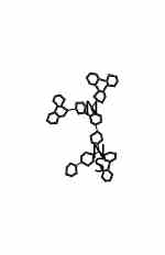 c1ccc(-c2ccc(N(c3ccc(-c4ccc5c(c4)c4cc(-c6cc7ccccc7c7ccccc67)ccc4n5-c4ccc5c6ccccc6c6ccccc6c5c4)cc3)c3cccc4c3sc3ccccc34)cc2)cc1